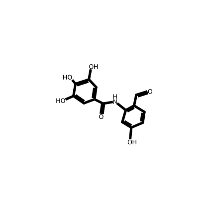 O=Cc1ccc(O)cc1NC(=O)c1cc(O)c(O)c(O)c1